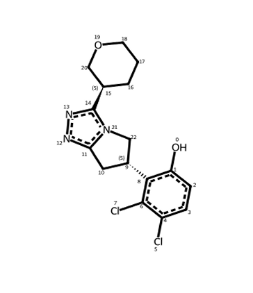 Oc1ccc(Cl)c(Cl)c1[C@@H]1Cc2nnc([C@@H]3CCCOC3)n2C1